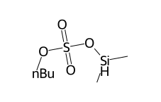 CCCCOS(=O)(=O)O[SiH](C)C